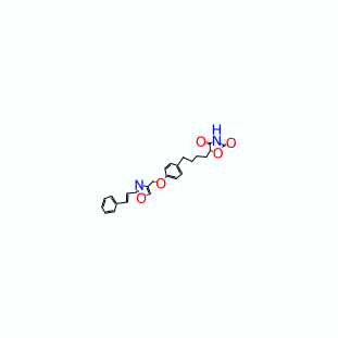 O=C1NC(=O)C(CCCCc2ccc(OCc3coc(/C=C/c4ccccc4)n3)cc2)O1